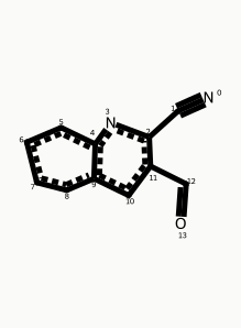 N#Cc1nc2ccccc2cc1C=O